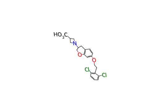 O=C(O)C1CN(C2COc3cc(OCCc4c(Cl)cccc4Cl)ccc3C2)C1